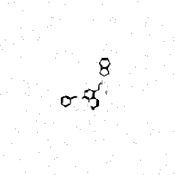 C[C@H]1c2ccccc2C[C@H]1NC[C@H](O)c1ccc(OCc2ccccc2)c2[nH]c(=O)ccc12